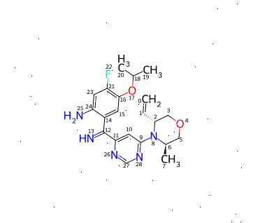 C=C[C@@H]1COC[C@@H](C)N1c1cc(C(=N)c2cc(OC(C)C)c(F)cc2N)ncn1